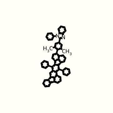 Cc1cc(-c2nc3ccccc3n2-c2ccccc2)cc(C)c1-c1ccc2c3c(-c4ccccc4)c4cc5c6ccccc6c6cccc(c4c(-c4ccccc4)c3c3cccc1c23)c65